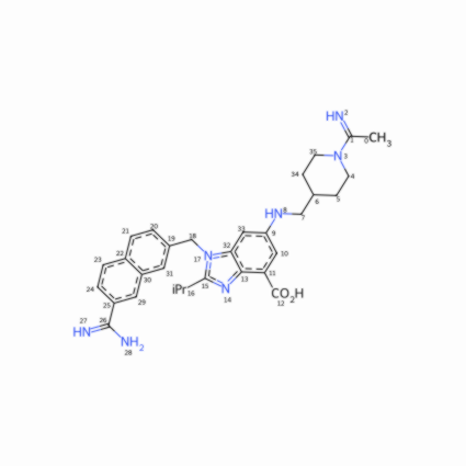 CC(=N)N1CCC(CNc2cc(C(=O)O)c3nc(C(C)C)n(Cc4ccc5ccc(C(=N)N)cc5c4)c3c2)CC1